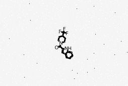 O=C(c1cc2ccccc2[nH]1)N1CCC(C(F)(F)F)CC1